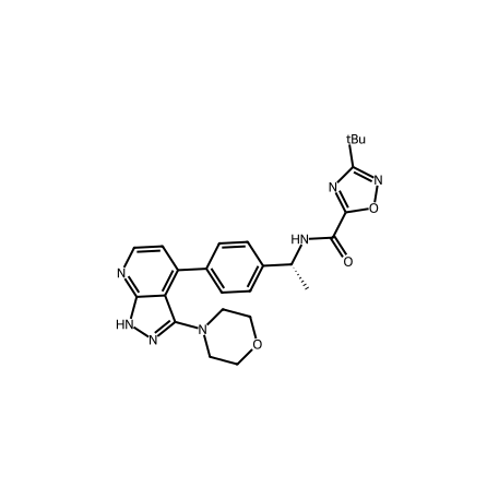 C[C@@H](NC(=O)c1nc(C(C)(C)C)no1)c1ccc(-c2ccnc3[nH]nc(N4CCOCC4)c23)cc1